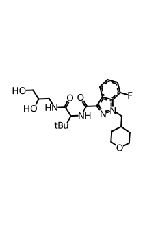 CC(C)(C)C(NC(=O)c1nn(CC2CCOCC2)c2c(F)cccc12)C(=O)NCC(O)CO